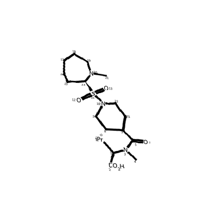 CC(C)C(C(=O)O)N(C)C(=O)C1CCN(S(=O)(=O)[C@H]2CCCCCN2C)CC1